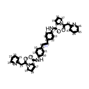 O=C(Nc1ccc(/C=C/c2ccc(NC(=O)[C@@H]3C=CCN3C(=O)Cc3ccccn3)cc2)cc1)[C@@H]1C=CCN1C(=O)Cc1ccccn1